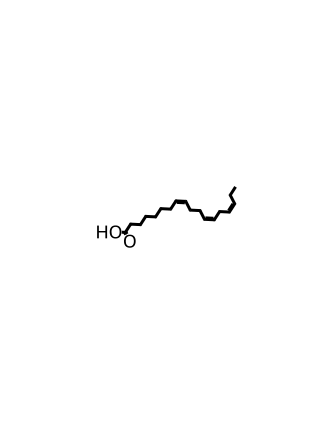 CC/C=C\C/C=C\CC/C=C\CCCCCCC(=O)O